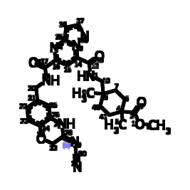 COC(=O)C1(C)CCC(C)(CNC(=O)c2cc(C(=O)NCc3ccc4c(c3)N/C(=N/C#N)CO4)nc3ccnn23)CC1